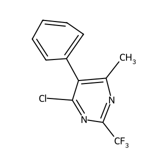 Cc1nc(C(F)(F)F)nc(Cl)c1-c1ccccc1